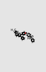 Cc1cc2ncc3cc(-c4ccccc4)c(-c4ccc(CN5CCC(C(=O)NC6CCCCC6)CC5)cc4)nc3n2n1